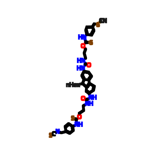 CCCCCCC1c2cc(NC(=O)NCCCOC(=S)Nc3ccc(CN=C=S)cc3)ccc2-c2ccc(NC(=O)NCCCOC(=S)Nc3ccc(CSC#N)cc3)cc21